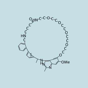 COc1cc2nc(C)nc3c2cc1OCCOCCOCCOCCOCCNC(=O)CCCNCc1ccccc1-c1ccc(s1)C(C)N3